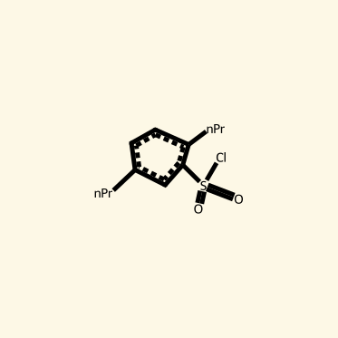 CCCc1ccc(CCC)c(S(=O)(=O)Cl)c1